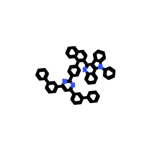 c1ccc(-c2cccc(-c3cc(-c4cccc(-c5ccccc5)c4)nc(-c4ccc(-c5c(-c6nc7ccccc7c7c6c6ccccc6n7-c6ccccc6)ccc6ccccc56)cc4)n3)c2)cc1